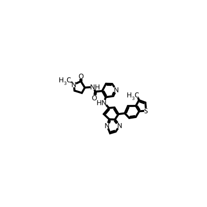 Cc1csc2ccc(-c3cc(Nc4cnccc4C(=O)NC4CCN(C)C4=O)cc4nccnc34)cc12